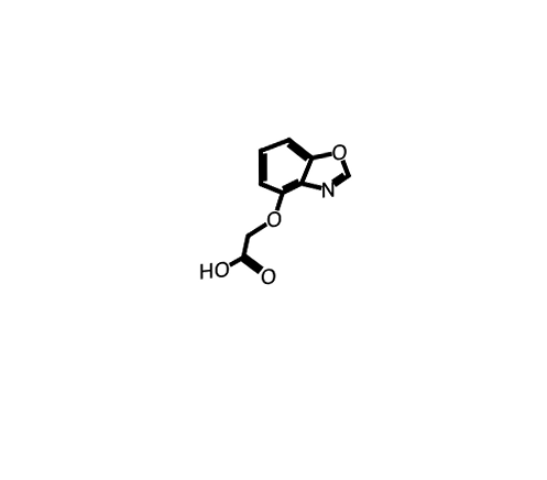 O=C(O)COc1cccc2ocnc12